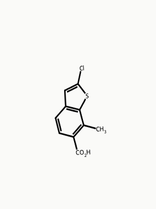 Cc1c(C(=O)O)ccc2cc(Cl)sc12